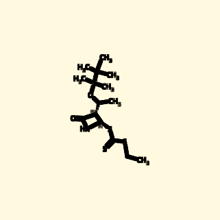 CCSC(=S)S[C@H]1NC(=O)[C@@H]1C(C)O[Si](C)(C)C(C)(C)C